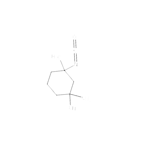 CC1(C)CCCC(C)(N=C=O)C1